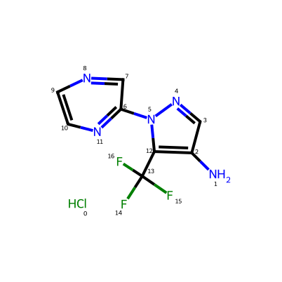 Cl.Nc1cnn(-c2cnccn2)c1C(F)(F)F